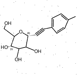 Cc1ccc(C#C[C@H]2OC(CO)[C@@H](O)C(O)C2O)cc1